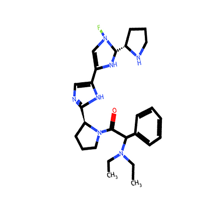 CCN(CC)C(C(=O)N1CCC[C@H]1c1ncc(C2=CN(F)C([C@@H]3CCCN3)N2)[nH]1)c1ccccc1